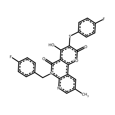 Cc1cnc2c(c1)c1oc(=O)c(Sc3ccc(F)cc3)c(O)c1c(=O)n2Cc1ccc(F)cc1